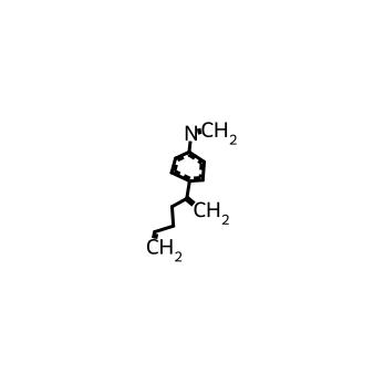 C=CCCC(=C)c1ccc(N=C)cc1